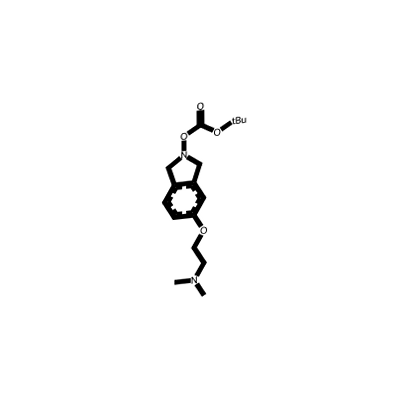 CN(C)CCOc1ccc2c(c1)CN(OC(=O)OC(C)(C)C)C2